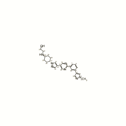 Cn1cc(-c2cccc(-c3ncc(-c4cnn([C@H]5CC[C@H](NCCO)CC5)c4)cn3)c2)cn1